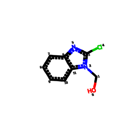 OCn1c(Cl)nc2ccccc21